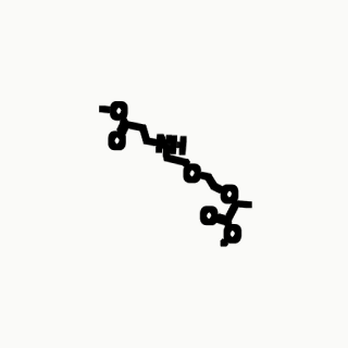 COC(=O)CCNCCOCCOC(C)C(=O)OC